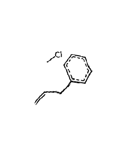 C=CCc1ccccc1.CCl